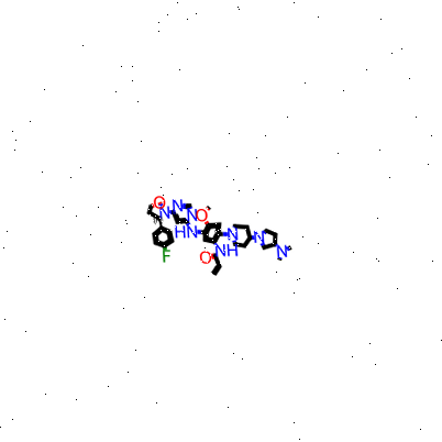 C=CC(=O)Nc1cc(Nc2cc(N3OCC[C@@H]3c3ccc(F)cc3)ncn2)c(OC)cc1N1CCC(N2CCC(N(C)C)C2)CC1